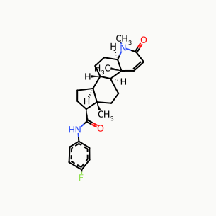 CN1C(=O)C=C[C@]2(C)[C@H]3CC[C@]4(C)[C@@H](C(=O)Nc5ccc(F)cc5)CC[C@H]4[C@@H]3CC[C@@H]12